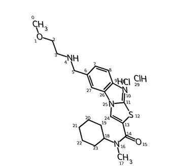 COCCNCc1ccc2nc3sc(C(=O)N(C)C4CCCCC4)cn3c2c1.Cl.Cl